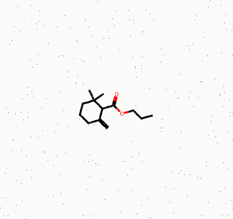 C=C1CCCC(C)(C)C1C(=O)OCCC